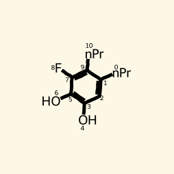 CCCc1cc(O)c(O)c(F)c1CCC